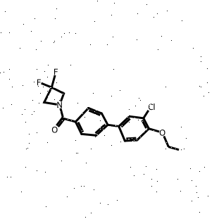 [CH2]COc1ccc(-c2ccc(C(=O)N3CC(F)(F)C3)cc2)cc1Cl